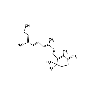 C=C1CCC(C)(C)C(C=CC(C)=CC=CC(C)=CCO)=C1C